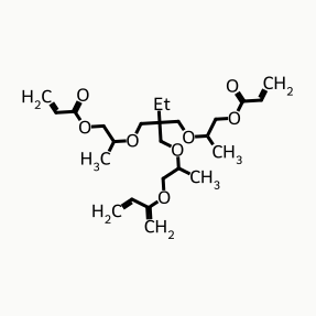 C=CC(=C)OCC(C)OCC(CC)(COC(C)COC(=O)C=C)COC(C)COC(=O)C=C